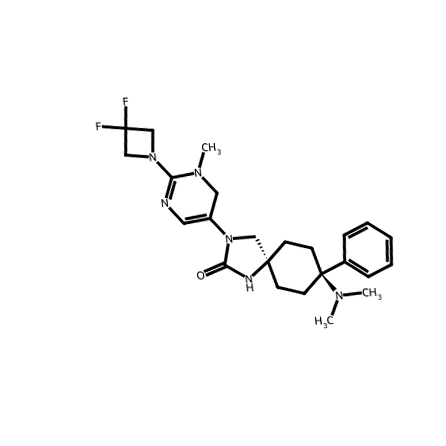 CN1CC(N2C[C@]3(CC[C@](c4ccccc4)(N(C)C)CC3)NC2=O)=CN=C1N1CC(F)(F)C1